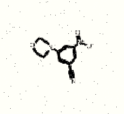 N#Cc1cc(N2CCOCC2)cc([N+](=O)[O-])c1